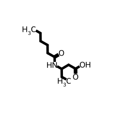 CCCCCC(=O)NC(CC)CC(=O)O